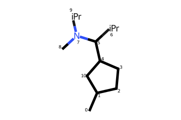 CC1CCC(C(C(C)C)N(C)C(C)C)C1